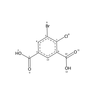 O=C(O)c1cc(Br)c(Cl)c(C(=O)O)c1